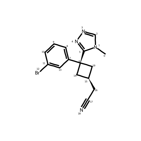 Cn1cnnc1[C@]1(c2cccc(Br)c2)C[C@H](CC#N)C1